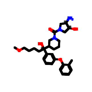 COCCCC[C@@](O)(c1cccc(Oc2ccccc2C)c1)C1CCCN(C(=O)N2C[C@@H](N)[C@@H](O)C2)C1